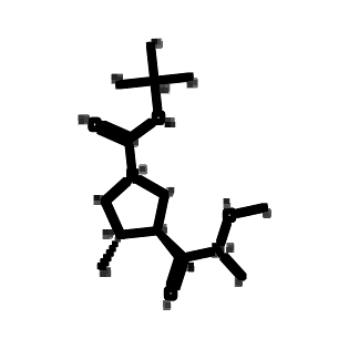 CON(C)C(=O)[C@@H]1CN(C(=O)OC(C)(C)C)C[C@H]1C